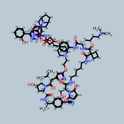 CC(C)[C@@H](C(=O)N1C[C@H](O)C[C@H]1C(=O)N[C@H](C)c1ccc(C#N)cc1)c1cc(OCCN2CCC(OC3CC(Oc4cc(N5C6CCC5CN(c5cc(-c7ccccc7O)nnc5NC(=O)OCc5ccc(NC(=O)[C@H](CCCCN(C)C)NC(=O)C7(C(=O)NCCCCCNC(=O)[C@H](CO)N8C(=O)C=CC8=O)CCC7)cc5)C6)ccn4)C3)CC2)no1